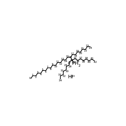 CCCCCCCCCCCCCCCCC(CCCCCCCC)C(P)(CCCCCCCC)CCCCCCCC.I